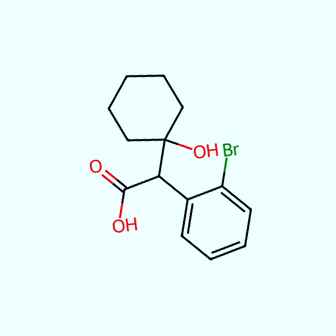 O=C(O)C(c1ccccc1Br)C1(O)CCCCC1